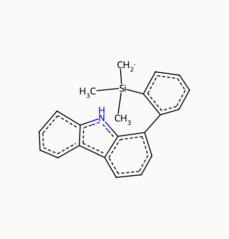 [CH2][Si](C)(C)c1ccccc1-c1cccc2c1[nH]c1ccccc12